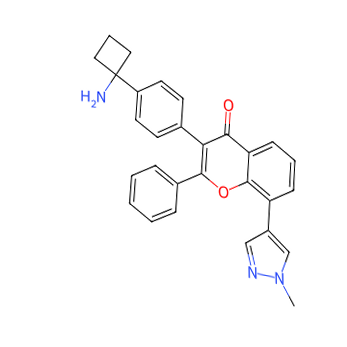 Cn1cc(-c2cccc3c(=O)c(-c4ccc(C5(N)CCC5)cc4)c(-c4ccccc4)oc23)cn1